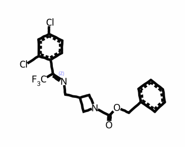 O=C(OCc1ccccc1)N1CC(C/N=C(/c2ccc(Cl)cc2Cl)C(F)(F)F)C1